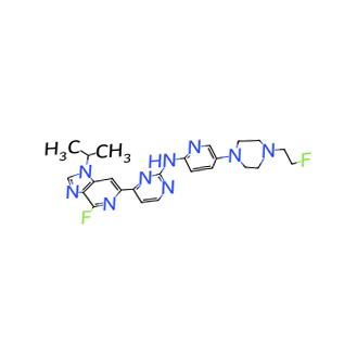 CC(C)n1cnc2c(F)nc(-c3ccnc(Nc4ccc(N5CCN(CCF)CC5)cn4)n3)cc21